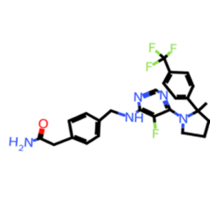 CC1(c2ccc(C(F)(F)F)cc2)CCCN1c1ncnc(NCc2ccc(CC(N)=O)cc2)c1F